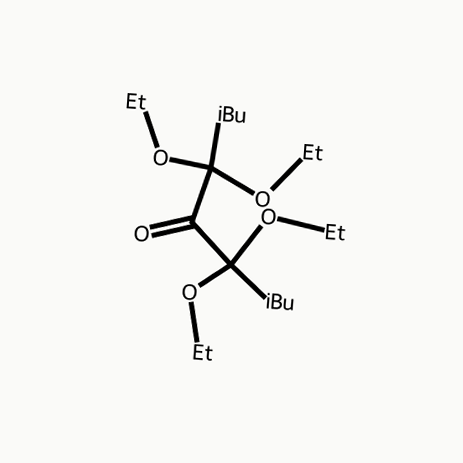 CCOC(OCC)(C(=O)C(OCC)(OCC)C(C)CC)C(C)CC